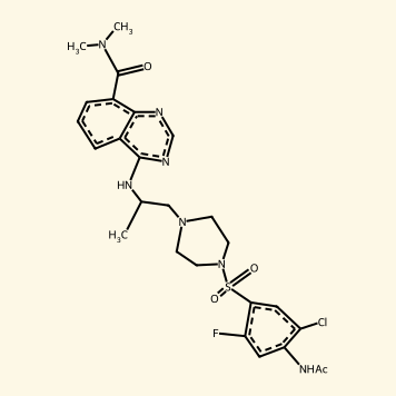 CC(=O)Nc1cc(F)c(S(=O)(=O)N2CCN(CC(C)Nc3ncnc4c(C(=O)N(C)C)cccc34)CC2)cc1Cl